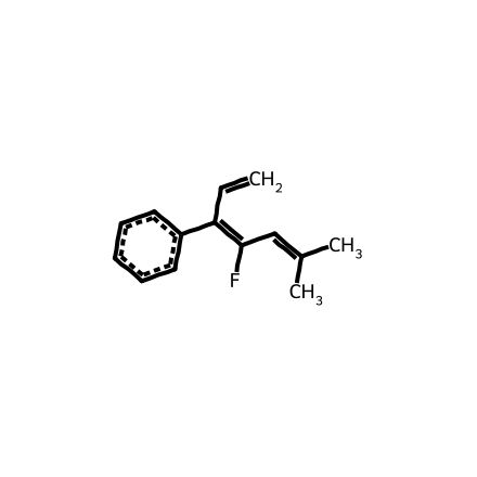 C=C/C(=C(/F)C=C(C)C)c1ccccc1